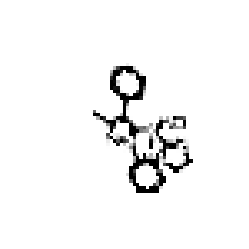 Cc1nn(-c2ccccc2)c(NC2=NCCN2)c1-c1ccccc1.Cl